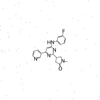 CN1CC(c2nc(Nc3cccc(F)c3)cc(-c3cccnc3)n2)CC1=O